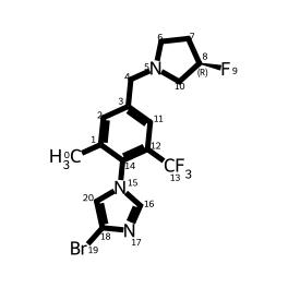 Cc1cc(CN2CC[C@@H](F)C2)cc(C(F)(F)F)c1-n1cnc(Br)c1